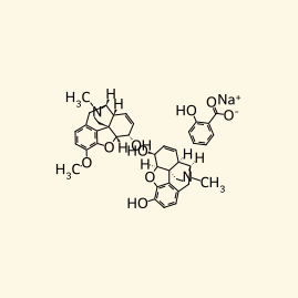 CN1CC[C@]23c4c5ccc(O)c4O[C@H]2[C@@H](O)C=C[C@H]3[C@H]1C5.COc1ccc2c3c1O[C@H]1[C@@H](O)C=C[C@H]4[C@@H](C2)N(C)CC[C@@]341.O=C([O-])c1ccccc1O.[Na+]